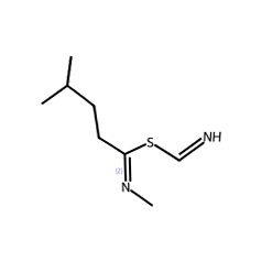 C/N=C(/CCC(C)C)SC=N